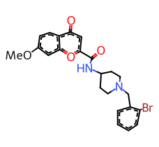 COc1ccc2c(=O)cc(C(=O)NC3CCN(Cc4ccccc4Br)CC3)oc2c1